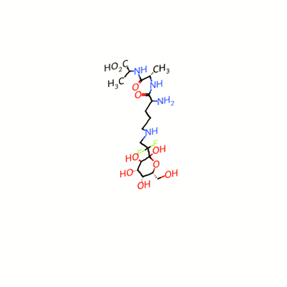 C[C@H](NC(=O)[C@H](C)NC(=O)[C@@H](N)CCCNCC(F)(F)C1(O)O[C@H](CO)[C@H](O)[C@H](O)[C@H]1O)C(=O)O